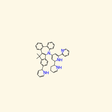 CC1(C)C2=C(c3ccc(C4C=CC=CN4)cc31)N(C1=CC(C3CCC=CN3)NC(c3ccccn3)=C1)c1ccccc1-c1ccccc12